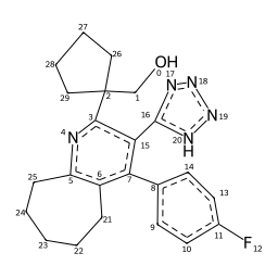 OCC1(c2nc3c(c(-c4ccc(F)cc4)c2-c2nnn[nH]2)CCCCC3)CCCC1